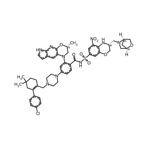 C[C@@H]1CN(c2cc(N3CCN(CC4=C(c5ccc(Cl)cc5)CC(C)(C)CC4)CC3)ccc2C(=O)NS(=O)(=O)c2cc3c(c([N+](=O)[O-])c2)N[C@H](CN2C[C@H]4C[C@@H]2CO4)CO3)c2cc3cc[nH]c3nc2O1